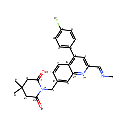 C/N=C/c1cc(-c2ccc(F)cc2)c2ccc(CN3C(=O)CC(C)(C)CC3=O)cc2n1